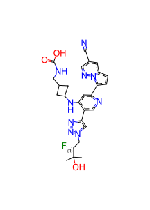 CC(C)(O)[C@H](F)Cn1cc(-c2cnc(-c3ccc4cc(C#N)cnn34)cc2NC2CC(CNC(=O)O)C2)nn1